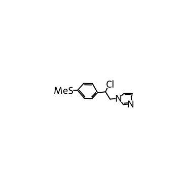 CSc1ccc(C(Cl)Cn2ccnc2)cc1